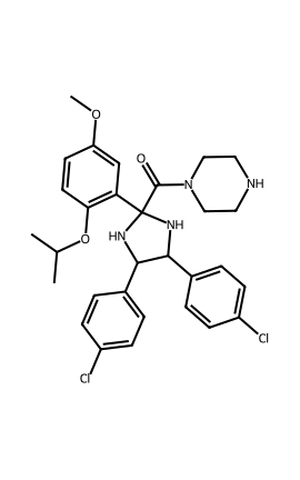 COc1ccc(OC(C)C)c(C2(C(=O)N3CCNCC3)NC(c3ccc(Cl)cc3)C(c3ccc(Cl)cc3)N2)c1